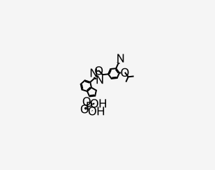 CC(C)Oc1ccc(-c2nc(-c3cccc4c3CC=C4OP(=O)(O)O)no2)cc1C#N